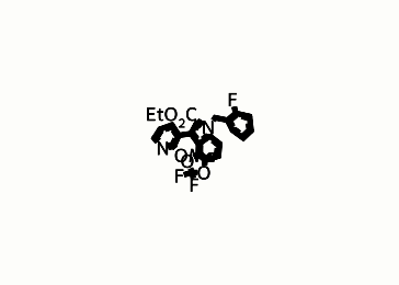 CCOC(=O)c1c(-c2cccnc2OC)c2c3c(ccc2n1Cc1ccccc1F)OC(F)(F)O3